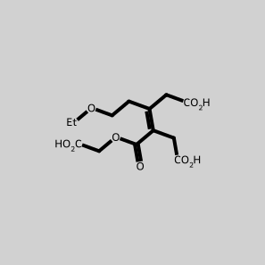 CCOCCC(CC(=O)O)=C(CC(=O)O)C(=O)OCC(=O)O